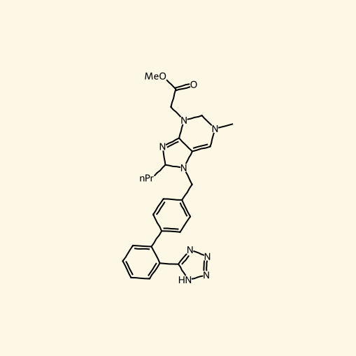 CCCC1N=C2C(=CN(C)CN2CC(=O)OC)N1Cc1ccc(-c2ccccc2-c2nnn[nH]2)cc1